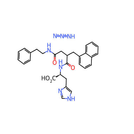 O=C(CC(Cc1cccc2ccccc12)C(=O)N[C@@H](Cc1c[nH]cn1)C(=O)O)NCCc1ccccc1.[N-]=[N+]=N